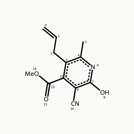 C=CCc1c(C)nc(O)c(C#N)c1C(=O)OC